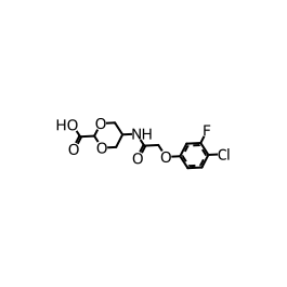 O=C(COc1ccc(Cl)c(F)c1)NC1COC(C(=O)O)OC1